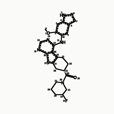 COc1cc2[nH]ncc2cc1Nc1ncnc2sc3c(c12)CC[C@H](C(=O)N1CCCC(F)C1)C3